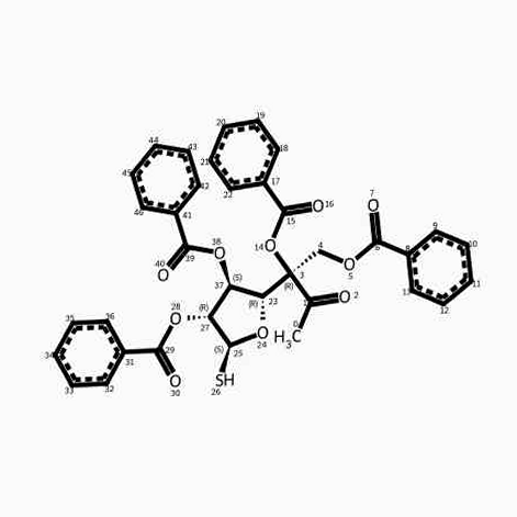 CC(=O)[C@](COC(=O)c1ccccc1)(OC(=O)c1ccccc1)[C@@H]1O[C@@H](S)[C@H](OC(=O)c2ccccc2)[C@H]1OC(=O)c1ccccc1